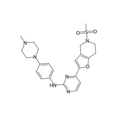 CN1CCN(c2ccc(Nc3nccc(-c4cc5c(o4)CCN(S(C)(=O)=O)C5)n3)cc2)CC1